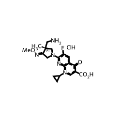 CON=C1CN(c2nc3c(cc2F)c(=O)c(C(=O)O)cn3C2CC2)C[C@@]1(C)CN.Cl